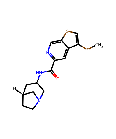 CSc1csc2cnc(C(=O)N[C@@H]3C[C@H]4CCN(C4)C3)cc12